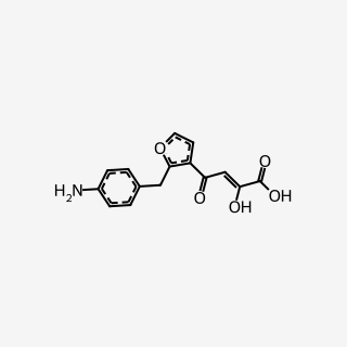 Nc1ccc(Cc2occc2C(=O)/C=C(\O)C(=O)O)cc1